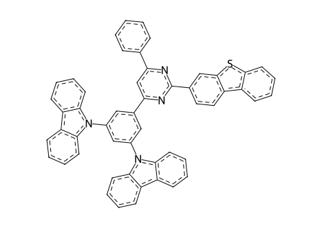 c1ccc(-c2cc(-c3cc(-n4c5ccccc5c5ccccc54)cc(-n4c5ccccc5c5ccccc54)c3)nc(-c3ccc4c(c3)sc3ccccc34)n2)cc1